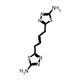 Nc1nnc(CC=CCc2nnc(N)s2)s1